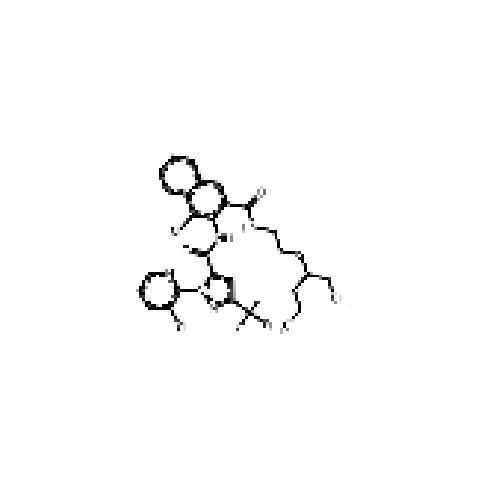 CCCC(CC)SCCNC(=O)c1cc2ccccc2c(Cl)c1NC(=O)c1cc(C(F)(F)F)nn1-c1ncccc1Cl